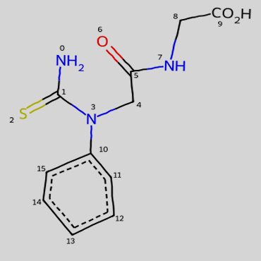 NC(=S)N(CC(=O)NCC(=O)O)c1ccccc1